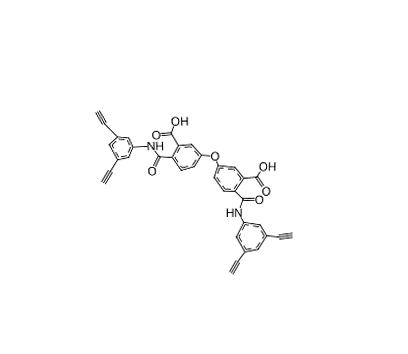 C#Cc1cc(C#C)cc(NC(=O)c2ccc(Oc3ccc(C(=O)Nc4cc(C#C)cc(C#C)c4)c(C(=O)O)c3)cc2C(=O)O)c1